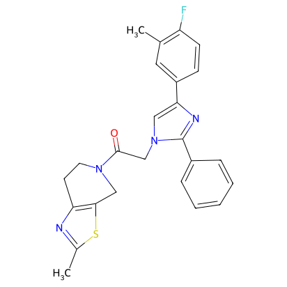 Cc1nc2c(s1)CN(C(=O)Cn1cc(-c3ccc(F)c(C)c3)nc1-c1ccccc1)CC2